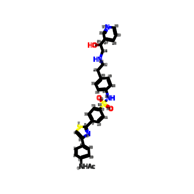 CC(=O)Nc1ccc(-c2csc(-c3ccc(S(=O)(=O)Nc4ccc(CCNCC(O)c5cccnc5)cc4)cc3)n2)cc1